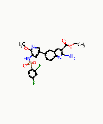 CCOC(=O)c1cc2cc(-c3cnc(OC)c(NS(=O)(=O)c4ccc(F)cc4F)c3)ccc2nc1N